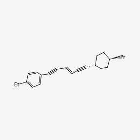 CCC[C@H]1CC[C@H](C#C/C=C/C#Cc2ccc(CC)cc2)CC1